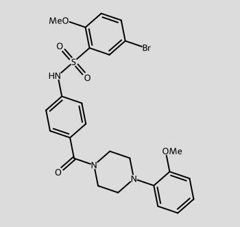 COc1ccccc1N1CCN(C(=O)c2ccc(NS(=O)(=O)c3cc(Br)ccc3OC)cc2)CC1